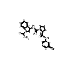 NC(=O)n1cc(NC(=O)N2CCC[C@H]2C(=O)Nc2cncc(Br)c2)c2ccccc21